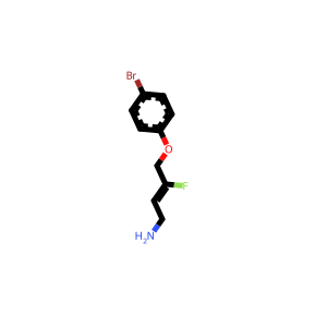 NC/C=C(\F)COc1ccc(Br)cc1